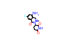 CN1Cc2c(N)cc(F)cc2C(=O)N1C1CCC(=O)NC1=O